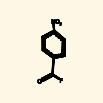 O=C(F)c1ccc([N+](=O)[O-])cc1